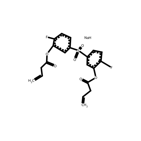 C=CCC(=O)Oc1cc(S(=O)(=O)c2ccc(F)c(OC(=O)CC=C)c2)ccc1F.[NaH]